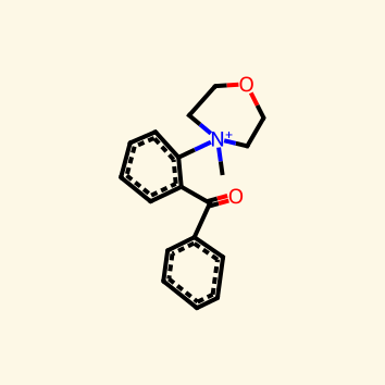 C[N+]1(c2ccccc2C(=O)c2ccccc2)CCOCC1